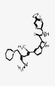 C=N/C=C(\C=C(/C)c1ccc2[nH]nc(C(=O)Nc3cnc(C(F)(F)F)cn3)c2c1)CN1CCCCCC1